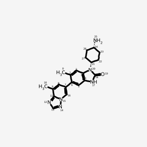 Cc1cc2c(cc1-c1cc(C)c3ncnn3c1)[nH]c(=O)n2[C@H]1CC[C@@H](N)CC1